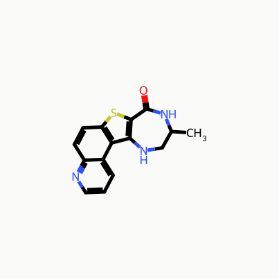 CC1CNc2c(sc3ccc4ncccc4c23)C(=O)N1